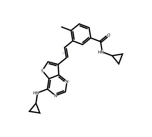 Cc1ccc(C(=O)NC2CC2)cc1/C=C/c1csc2c(NC3CC3)ncnc12